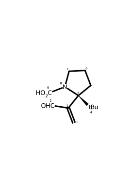 C=C(C=O)[C@@]1(C(C)(C)C)CCCN1C(=O)O